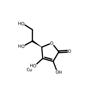 O=C1O[C@H](C(O)CO)C(O)=C1O.[Cu]